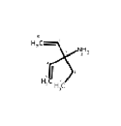 C=CC(N)(C=C)CC